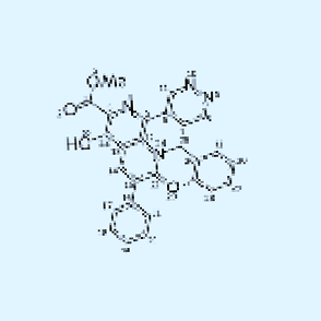 COC(=O)c1nc(-c2ccnnc2)c2c(cc(-c3ccccc3)c(=O)n2Cc2ccccc2)c1O